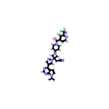 CC(C)n1ccc2c(-c3cnn(C4(CC#N)CN(C5CCN(C(=O)c6ccnc(C(F)(F)F)c6F)CC5)C4)c3)ncnc21